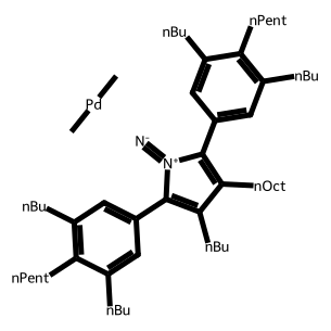 CCCCCCCCC1=C(c2cc(CCCC)c(CCCCC)c(CCCC)c2)[N+](=[N-])C(c2cc(CCCC)c(CCCCC)c(CCCC)c2)=C1CCCC.[CH3][Pd][CH3]